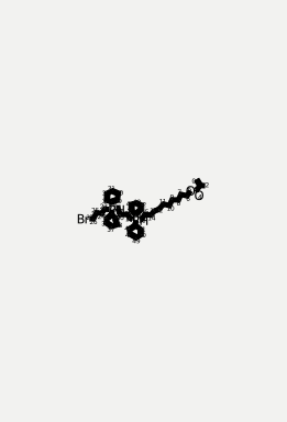 C=C(C)C(=O)OCCCCCCCCCCC[PH](CCCC[PH](CCCCBr)(c1ccccc1)c1ccccc1)(c1ccccc1)c1ccccc1